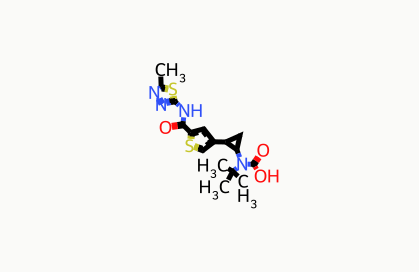 Cc1nnc(NC(=O)c2cc(C3CC3N(C(=O)O)C(C)(C)C)cs2)s1